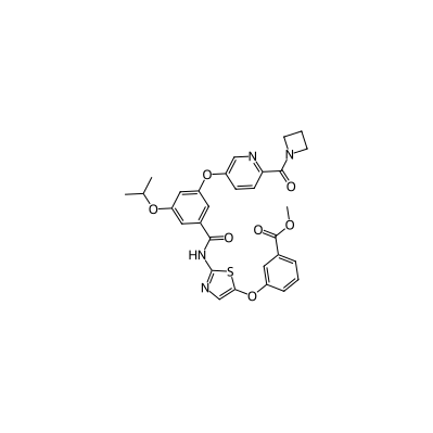 COC(=O)c1cccc(Oc2cnc(NC(=O)c3cc(Oc4ccc(C(=O)N5CCC5)nc4)cc(OC(C)C)c3)s2)c1